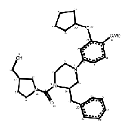 COc1ccc(N2CCN(C(=O)N3CCC(CO)C3)C(Cc3ccccc3)C2)cc1OC1CCCC1